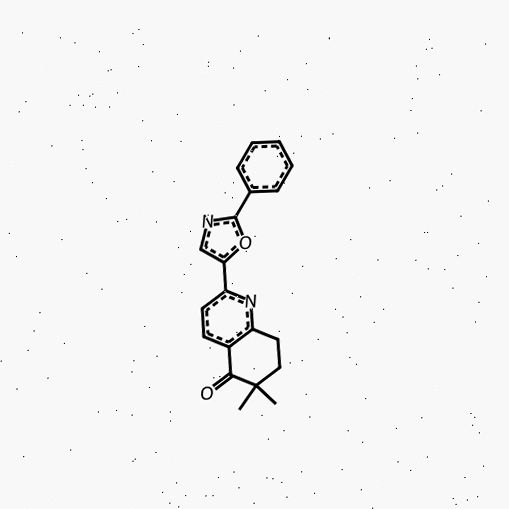 CC1(C)CCc2nc(-c3cnc(-c4ccccc4)o3)ccc2C1=O